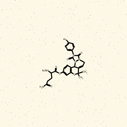 CC(=O)NC(CCC(N)=O)C(=O)Oc1ccc2c(c1)OC(C)(C)C1=CCn3c(=O)n(-c4ccc(C(C)=O)cc4)c(=O)n3C12